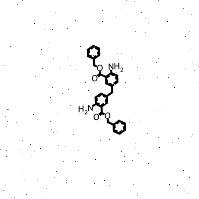 Nc1ccc(Cc2ccc(N)c(C(=O)OCc3ccccc3)c2)cc1C(=O)OCc1ccccc1